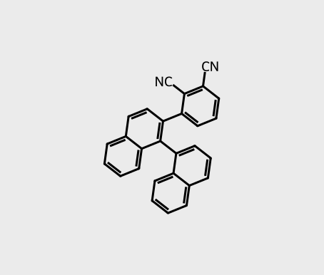 N#Cc1cccc(-c2ccc3ccccc3c2-c2cccc3ccccc23)c1C#N